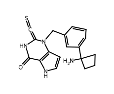 NC1(c2cccc(CN3C(=C=S)NC(=O)c4[nH]ccc43)c2)CCC1